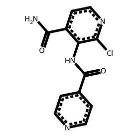 NC(=O)c1ccnc(Cl)c1NC(=O)c1ccncc1